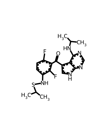 CC(C)Nc1ncnc2[nH]cc(C(=O)c3c(F)ccc(NSC(C)C)c3F)c12